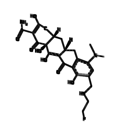 CN(C)c1cc(CNCCF)c(O)c2c1C[C@H]1C[C@H]3CC(O)=C(C(N)=O)C(=O)[C@@]3(O)C(O)=C1C2=O